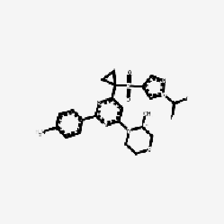 C[C@H]1COCCN1c1cc(C2(S(=O)(=O)c3cnn(C(F)F)c3)CC2)nc(-c2ccc(N)cc2)n1